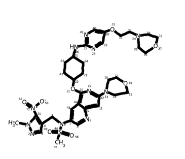 Cn1ncc(CN(c2cnc3cc(N4CCOCC4)nc(OC4CCC(Nc5ncc(OCCN6CCOCC6)cn5)CC4)c3c2)S(C)(=O)=O)c1[N+](=O)[O-]